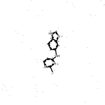 Ic1nccc(Nc2ccc3[nH]cnc3c2)n1